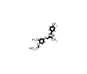 CC1=CC(SCc2sc(-c3ccc(C(F)(F)F)cc3)nc2C)=CCC1OCC(=O)O